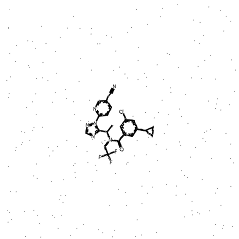 CC(c1ncnn1-c1ccc(C#N)cn1)N(CC(F)(F)F)C(=O)c1cc(Cl)cc(C2CC2)c1